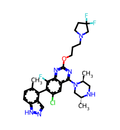 Cc1ccc2[nH]ncc2c1-c1c(Cl)cc2c(N3C[C@@H](C)NC[C@@H]3C)nc(OCCCN3CCC(F)(F)C3)nc2c1F